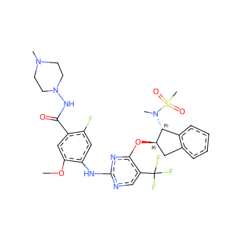 COc1cc(C(=O)NN2CCN(C)CC2)c(F)cc1Nc1ncc(C(F)(F)F)c(O[C@@H]2Cc3ccccc3[C@H]2N(C)S(C)(=O)=O)n1